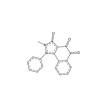 Cn1c(=O)c2c(n1-c1ccccc1)-c1ccccc1C(=O)C2=O